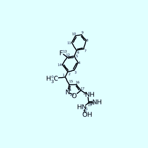 CC(c1ccc(-c2ccccc2)c(F)c1)c1cc(NC(=N)NO)on1